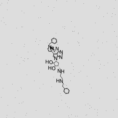 Nc1ncnc2c1c(-c1ccn(Cc3ccccc3)n1)cn2[C@@H]1C[C@H](CNCCCNCCc2ccccc2)[C@@H](O)[C@H]1O